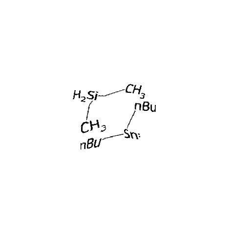 CCC[CH2][Sn][CH2]CCC.C[SiH2]C